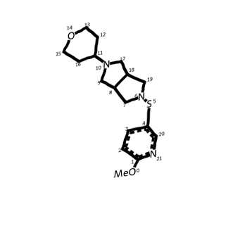 COc1ccc(SN2CC3CN(C4CCOCC4)CC3C2)cn1